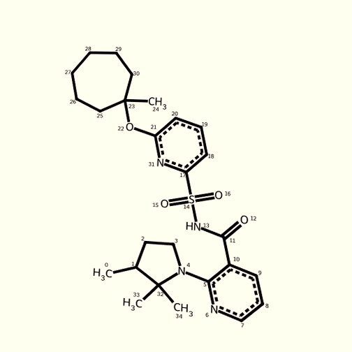 CC1CCN(c2ncccc2C(=O)NS(=O)(=O)c2cccc(OC3(C)CCCCCC3)n2)C1(C)C